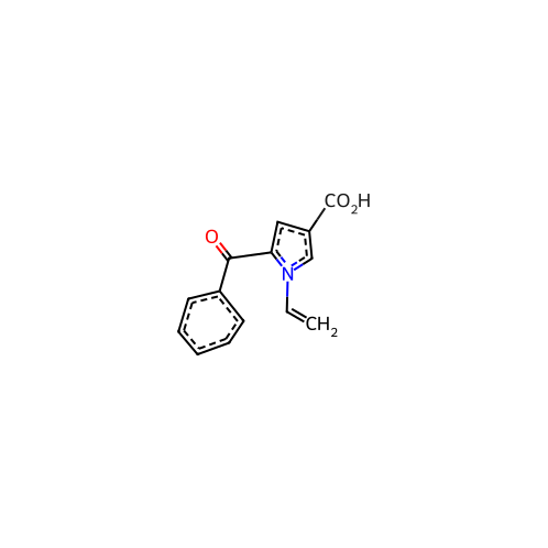 C=Cn1cc(C(=O)O)cc1C(=O)c1ccccc1